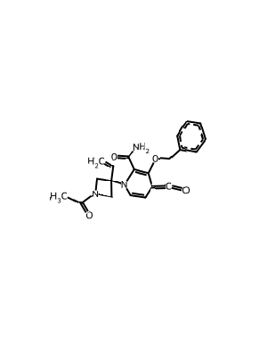 C=CC1(N2C=CC(=C=O)C(OCc3ccccc3)=C2C(N)=O)CN(C(C)=O)C1